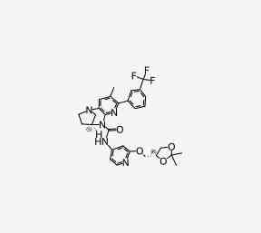 Cc1cc2c(nc1-c1cccc(C(F)(F)F)c1)N(C(=O)Nc1ccnc(OC[C@@H]3COC(C)(C)O3)c1)[C@H]1CCN2C1